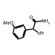 CCCC(C(N)=O)c1cccc(OC)c1